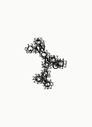 c1ccc(-c2nc(-c3ccc(-n4c5ccc(-c6ccc7c(c6)c6ccccc6n7-c6ccccc6)cc5c5c6oc7ccccc7c6ccc54)cc3)nc3ccccc23)cc1